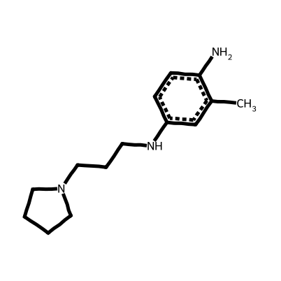 Cc1cc(NCCCN2CCCC2)ccc1N